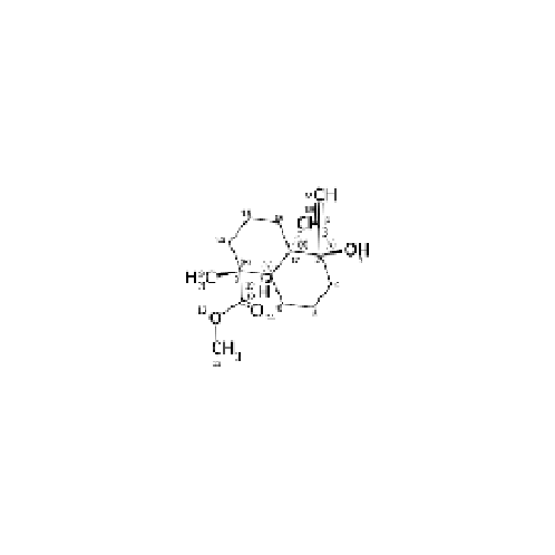 C#C[C@]1(O)CCC[C@@H]2[C@](C)(C(=O)OC)CCC[C@]21C